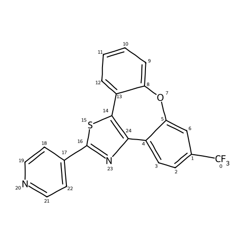 FC(F)(F)c1ccc2c(c1)Oc1ccccc1-c1sc(-c3ccncc3)nc1-2